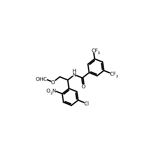 O=COCC(NC(=O)c1cc(C(F)(F)F)cc(C(F)(F)F)c1)c1cc(Cl)ccc1[N+](=O)[O-]